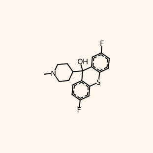 CN1CCC(C2(O)c3ccc(F)cc3Sc3ccc(F)cc32)CC1